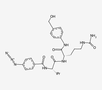 CC(C)[C@H](NC(=O)c1ccc(N=[N+]=[N-])cc1)C(=O)N[C@@H](CCCNC(N)=O)C(=O)Nc1ccc(CO)cc1